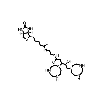 O=C(CCCC[C@H]1SC[C@H]2NC(=O)N[C@H]21)NCCNC(=O)CC(C(O)CN1CCNCCNCC1)N1CCNCCNCC1